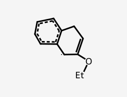 CCOC1=CCc2ccccc2[CH]1